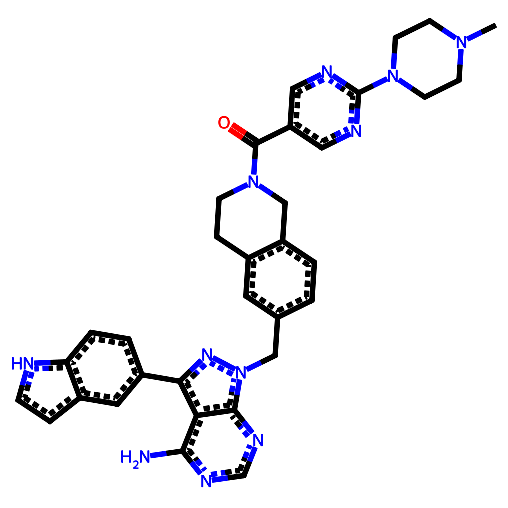 CN1CCN(c2ncc(C(=O)N3CCc4cc(Cn5nc(-c6ccc7[nH]ccc7c6)c6c(N)ncnc65)ccc4C3)cn2)CC1